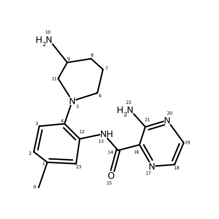 Cc1ccc(N2CCCC(N)C2)c(NC(=O)c2nccnc2N)c1